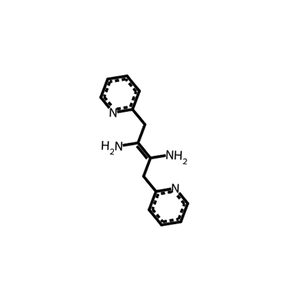 N/C(Cc1ccccn1)=C(/N)Cc1ccccn1